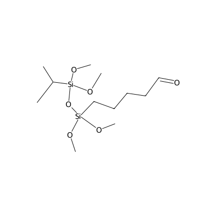 CO[Si](CCCCC=O)(OC)O[Si](OC)(OC)C(C)C